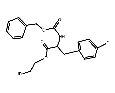 CC(C)CCOC(=O)C(Cc1ccc(F)cc1)NC(=O)OCc1ccccc1